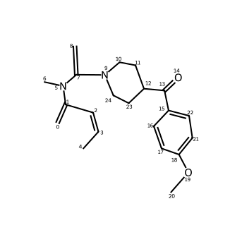 C=C(/C=C\C)N(C)C(=C)N1CCC(C(=O)c2ccc(OC)cc2)CC1